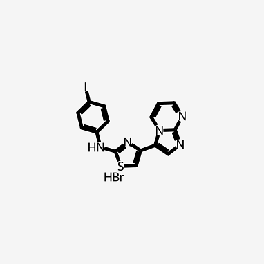 Br.Ic1ccc(Nc2nc(-c3cnc4ncccn34)cs2)cc1